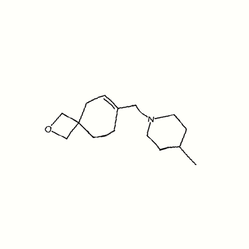 CC1CCN(CC2=CCC3(CC2)COC3)CC1